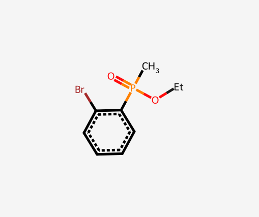 CCOP(C)(=O)c1ccccc1Br